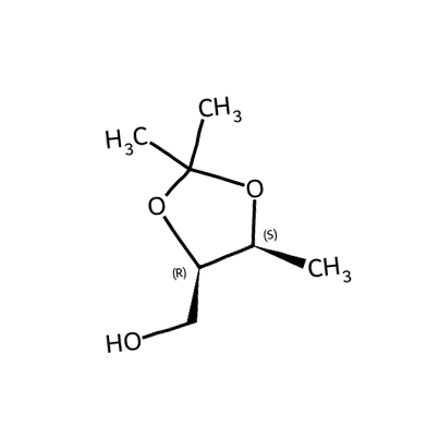 C[C@@H]1OC(C)(C)O[C@@H]1CO